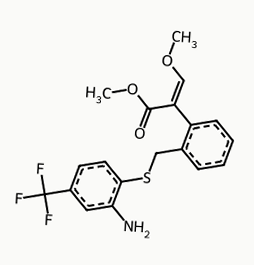 COC=C(C(=O)OC)c1ccccc1CSc1ccc(C(F)(F)F)cc1N